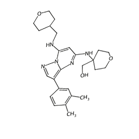 Cc1ccc(-c2cnn3c(NCC4CCOCC4)cc(NC4(CO)CCOCC4)nc23)cc1C